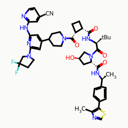 Cc1ncsc1-c1ccc([C@H](C)NC(=O)[C@@H]2C[C@@H](O)CN2C(=O)[C@@H](NC(=O)[C@H]2CC[C@H]2C(=O)N2CCC(c3cc(Nc4cc(C#N)ccn4)nc(N4CCC(F)(F)C4)c3)CC2)C(C)(C)C)cc1